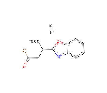 O=C([S-])CC(C(=O)[O-])c1nc2ccccc2o1.[K+].[K+]